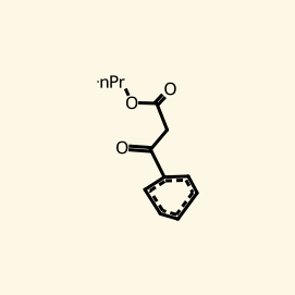 CC[CH]OC(=O)CC(=O)c1ccccc1